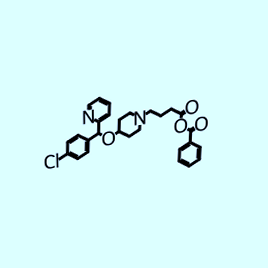 O=C(CCCN1CCC(OC(c2ccc(Cl)cc2)c2ccccn2)CC1)OC(=O)c1ccccc1